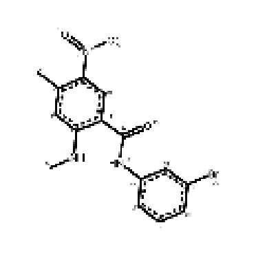 CNc1cc(C)c([N+](=O)[O-])cc1C(=O)Nc1cccc(Br)c1